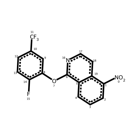 O=[N+]([O-])c1cccc2c(Oc3cc(C(F)(F)F)ccc3F)nccc12